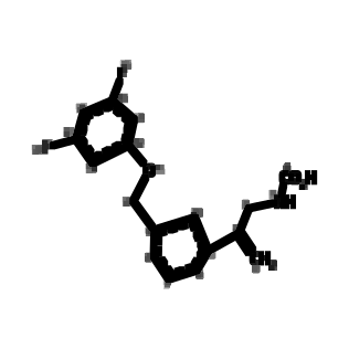 C=C(CNC(=O)O)c1cccc(COc2cc(F)cc(F)c2)c1